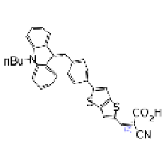 CCCCN1c2ccccc2C(=Cc2ccc(-c3cc4sc(/C=C(/C#N)C(=O)O)cc4s3)cc2)c2ccccc21